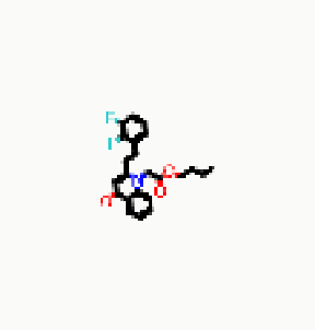 CCCCOC(=O)Cn1c(CCc2cccc(F)c2F)cc(=O)c2ccccc21